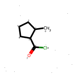 CC1CCCC1C(=O)Cl